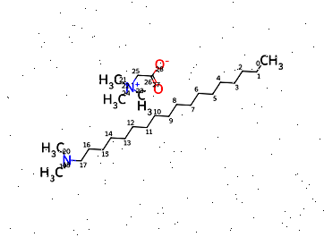 CCCCCCCCCCCCCCCCCCN(C)C.C[N+](C)(C)CC(=O)[O-]